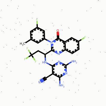 Cc1cc(F)cc(-n2c(C(CC(F)(F)F)Nc3nc(N)nc(N)c3C#N)nc3ccc(F)cc3c2=O)c1